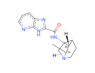 C[C@H]1[C@H](NC(=O)c2nc3cccnc3[nH]2)C2CCN1CC2